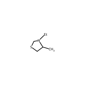 CCN1CSCC1C